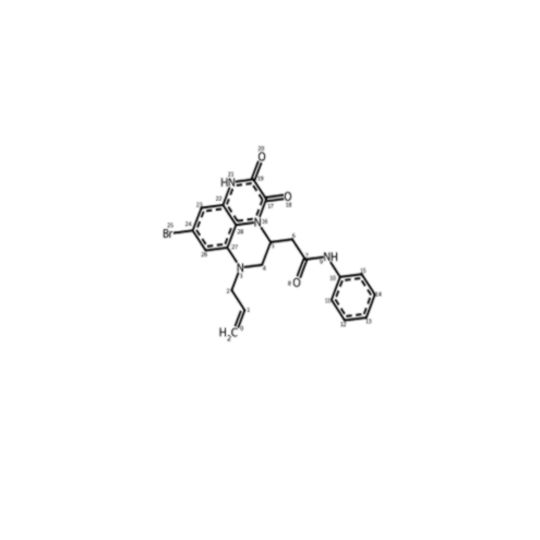 C=CCN1CC(CC(=O)Nc2ccccc2)n2c(=O)c(=O)[nH]c3cc(Br)cc1c32